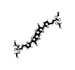 CCOP(=O)(/C=C/c1ccc(-c2sc3c(sc4c5sc(-c6ccc(/C=C/P(=O)(OCC)OCC)s6)c(C)c5sc34)c2C)s1)OCC